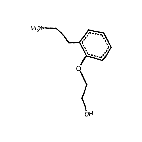 NCCc1ccccc1OCCO